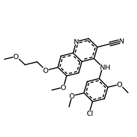 COCCOc1cc2ncc(C#N)c(Nc3cc(OC)c(Cl)cc3OC)c2cc1OC